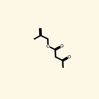 C=C(C)COC(=O)CC(C)=O